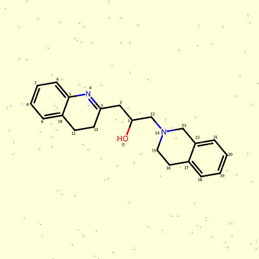 OC(CC1=Nc2ccccc2CC1)CN1CCc2ccccc2C1